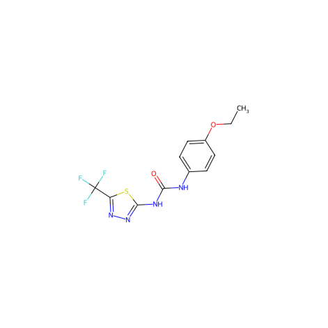 CCOc1ccc(NC(=O)Nc2nnc(C(F)(F)F)s2)cc1